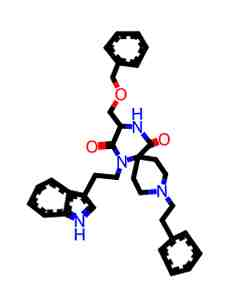 O=C1C(COCc2ccccc2)NC(=O)C2(CCN(CCc3ccccc3)CC2)N1CCc1c[nH]c2ccccc12